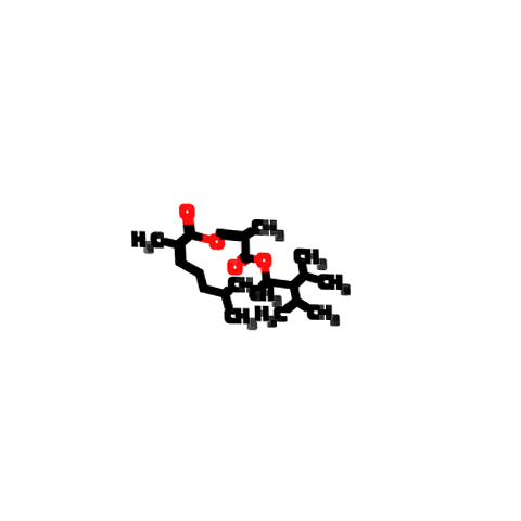 CC(=CCCC(C)C)C(=O)OC=C(C)C(=O)OC(C)C(C(C)C)C(C)C